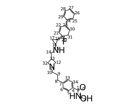 O=C(NO)c1ccc(CCCN2CC(CNC3CC3C3(F)C=CC(c4ccccc4)=CC3)C2)cc1